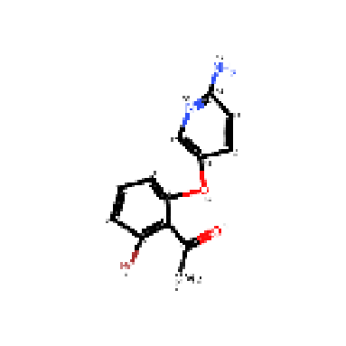 COC(=O)c1c(Br)cccc1Oc1ccc(N)nc1